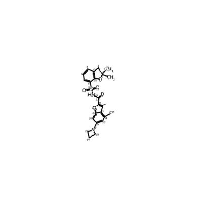 CC1(C)Cc2cccc(S(=O)(=O)NC(=O)c3cc4c(F)cc(N5CCC5)cc4o3)c2O1